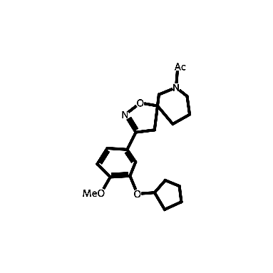 COc1ccc(C2=NOC3(CCCN(C(C)=O)C3)C2)cc1OC1CCCC1